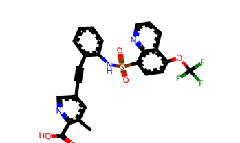 Cc1cc(C#Cc2ccccc2NS(=O)(=O)c2ccc(OC(F)(F)F)c3cccnc23)cnc1C(=O)O